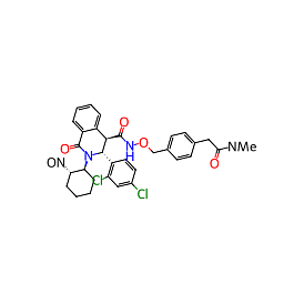 CNC(=O)Cc1ccc(CONC(=O)[C@@H]2c3ccccc3C(=O)N([C@H]3CCCC[C@@H]3N=O)[C@H]2c2ccc(Cl)cc2Cl)cc1